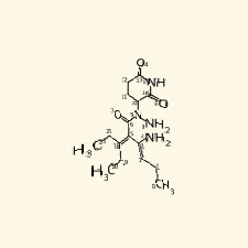 CCC=C(N)C(C(=O)N(N)C1CCC(=O)NC1=O)=C(CC)CC